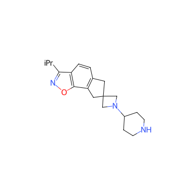 CC(C)c1noc2c3c(ccc12)CC1(C3)CN(C2CCNCC2)C1